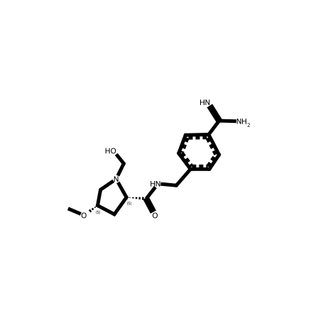 CO[C@H]1C[C@@H](C(=O)NCc2ccc(C(=N)N)cc2)N(CO)C1